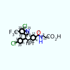 CCCC(c1ccc(C(=O)NCCC(=O)O)cc1)C(c1ccc(Cl)cc1)c1cn(C)c2c(Cl)cc(C(F)(F)F)cc12